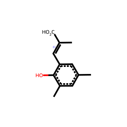 C/C(=C\c1cc(C)cc(C)c1O)C(=O)O